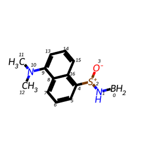 BN[S+]([O-])c1cccc2c(N(C)C)cccc12